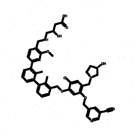 COc1nc(-c2cccc(-c3cccc(COc4cc(OCc5cncc(C#N)c5)c(CN5CC[C@@H](O)C5)cc4Cl)c3C)c2C)ccc1CNCC(O)CC(=O)O